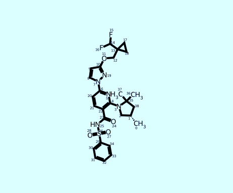 C[C@@H]1CN(c2nc(-n3ccc(OCC4(C(F)F)CC4)n3)ccc2C(=O)NS(=O)(=O)c2ccccc2)C(C)(C)C1